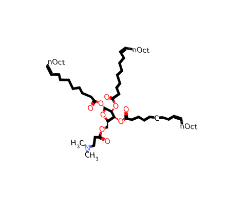 CCCCCCCC/C=C\CCCCCCCC(=O)O[C@@H]1O[C@H](COC(=O)CCN(C)C)[C@H](OC(=O)CCCCCCC/C=C\CCCCCCCC)[C@@H]1OC(=O)CCCCCCC/C=C\CCCCCCCC